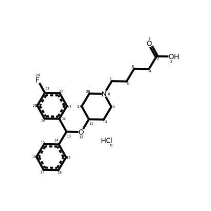 Cl.O=C(O)CCCCN1CCC(OC(c2ccccc2)c2ccc(F)cc2)CC1